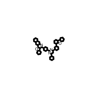 c1ccc(-c2cc(-c3cccc(-c4cccc5c4oc4ccccc45)c3)nc(-c3ccc(-c4nc5cc6ccccc6cc5c5oc6ccccc6c45)cc3)n2)cc1